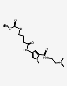 CN(C)CCNC(=O)c1cc(NC(=O)CCCNC(=O)OC(C)(C)C)cn1C